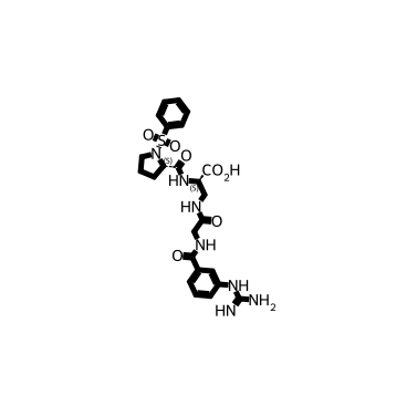 N=C(N)Nc1cccc(C(=O)NCC(=O)NC[C@H](NC(=O)[C@@H]2CCCN2S(=O)(=O)c2ccccc2)C(=O)O)c1